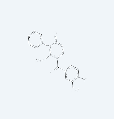 COc1cc(C(=O)c2ccc(=O)n(-c3ccccc3)c2SC)ccc1F